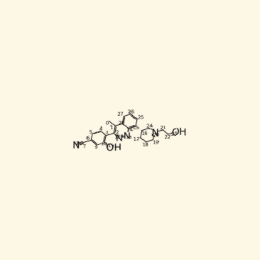 Cc1c(-c2ccc(C#N)cc2O)nnc2c([C@H]3CCCN(CCO)C3)cccc12